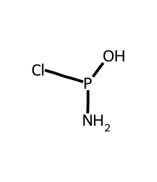 NP(O)Cl